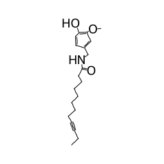 CCC#CCCCCCCCC(=O)NCc1ccc(O)c(OC)c1